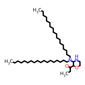 CCCCCCCCCCCCCCCCCCN(CCCCCCCCCCCCCCCCCC)C1NCCOC1C(=O)CC